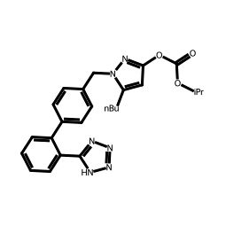 CCCCc1cc(OC(=O)OC(C)C)nn1Cc1ccc(-c2ccccc2-c2nnn[nH]2)cc1